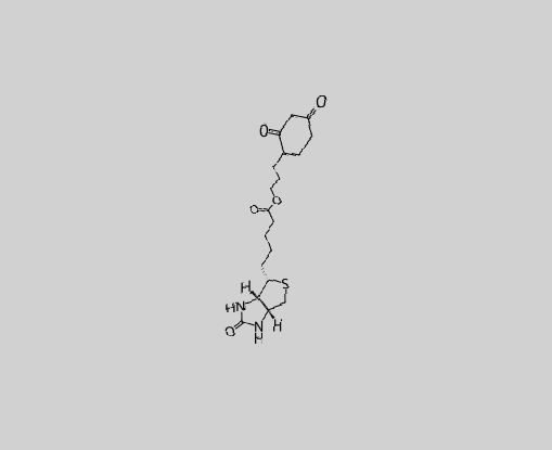 O=C1CCC(CCCOC(=O)CCCC[C@@H]2SC[C@@H]3NC(=O)N[C@@H]32)C(=O)C1